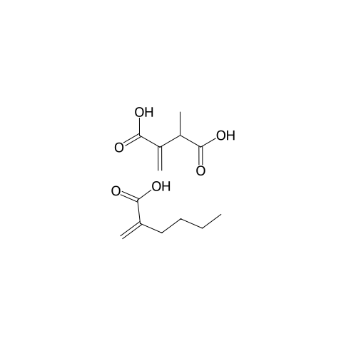 C=C(C(=O)O)C(C)C(=O)O.C=C(CCCC)C(=O)O